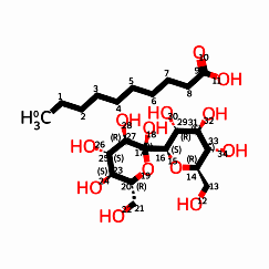 CCCCCCCCCC(=O)O.OC[C@H]1O[C@H]([C@]2(O)O[C@H](CO)[C@@H](O)[C@H](O)[C@H]2O)[C@H](O)[C@@H](O)[C@@H]1O